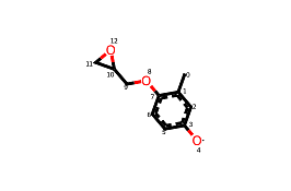 Cc1cc([O])ccc1OCC1CO1